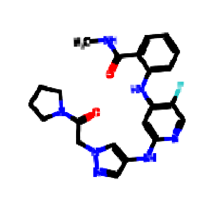 CNC(=O)c1ccccc1Nc1cc(Nc2cnn(CC(=O)N3CCCC3)c2)ncc1F